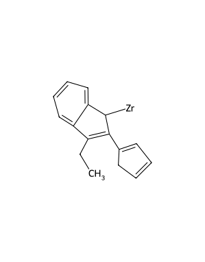 CCC1=C(C2=CC=CC2)[CH]([Zr])c2ccccc21